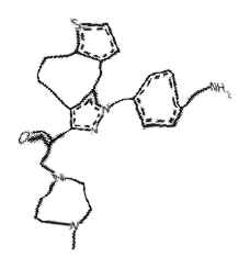 CN1CCN(C(=O)c2nn(-c3ccc(N)cc3)c3c2CCc2sccc2-3)CC1